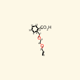 C=CCOCCOCc1ccccc1C(=O)O